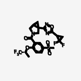 C[C@@H](Oc1ccc(S(C)(=O)=O)cc1C(=O)N1CC2CC2(c2noc(C3CC3(F)F)n2)C1)C(F)(F)F